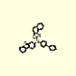 c1ccc(-c2ccc(N(c3ccc4c(c3)sc3ccccc34)c3nc4c(ccc5ccccc54)o3)cc2)cc1